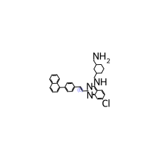 NCC1CCCC(CNc2nc(/C=C/c3ccc(-c4cccc5ccccc45)cc3)nc3cc(Cl)ccc23)C1